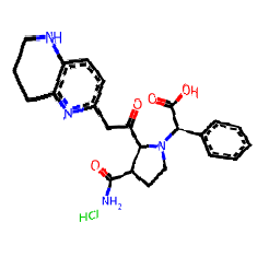 Cl.NC(=O)C1CCN([C@@H](C(=O)O)c2ccccc2)C1C(=O)Cc1ccc2c(n1)CCCN2